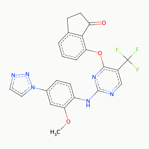 COc1cc(-n2ccnn2)ccc1Nc1ncc(C(F)(F)F)c(Oc2cccc3c2C(=O)CC3)n1